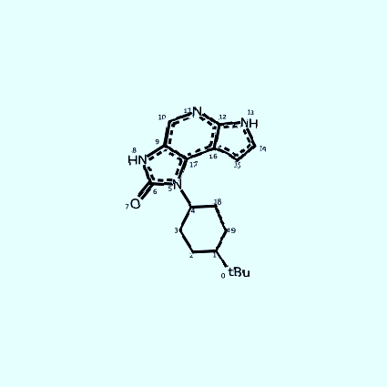 CC(C)(C)C1CCC(n2c(=O)[nH]c3cnc4[nH]ccc4c32)CC1